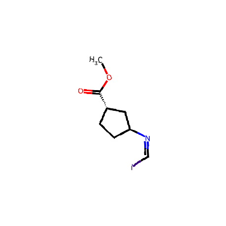 COC(=O)[C@H]1CCC(/N=C\I)C1